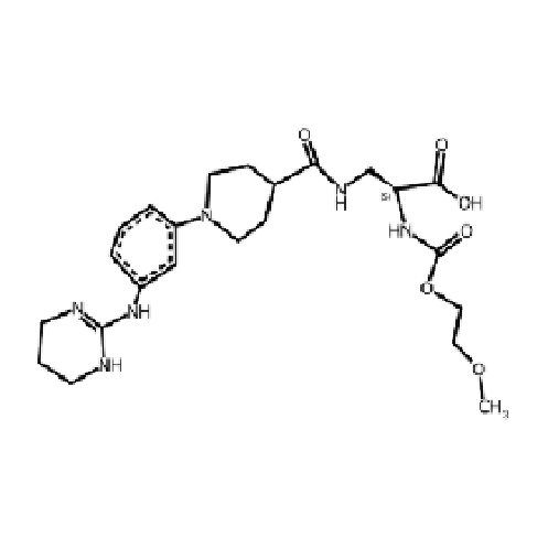 COCCOC(=O)N[C@@H](CNC(=O)C1CCN(c2cccc(NC3=NCCCN3)c2)CC1)C(=O)O